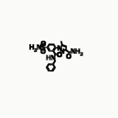 Cc1cc(C(N)=O)nn1-c1ccc(S(N)(=O)=O)cc1C(=O)NCc1ccccc1